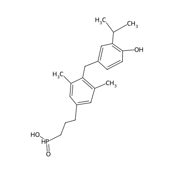 Cc1cc(CCC[PH](=O)O)cc(C)c1Cc1ccc(O)c(C(C)C)c1